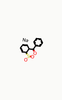 O=C(c1ccccc1)C1C=CC=CC1=S(=O)=O.[Na]